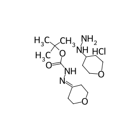 CC(C)(C)OC(=O)NN=C1CCOCC1.Cl.NNC1CCOCC1